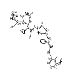 Cc1cc(C(=O)N(C)Cc2csc(NC(=O)NCc3cccc(F)c3)n2)c2c(C)nn(C)c2n1